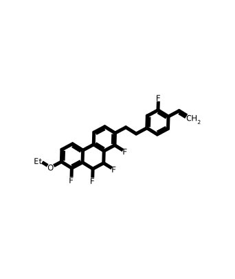 C=Cc1ccc(CCc2ccc3c(c2F)C(F)C(F)c2c-3ccc(OCC)c2F)cc1F